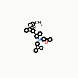 C[C@@H]1CC2CC[C@]3(c4ccccc4-c4cc(-c5ccc(N(c6ccc7c(c6)C6(CCCC6)c6ccccc6-7)c6ccc7c(c6)oc6ccccc67)c6ccccc56)ccc43)[C@@H](C2)C1